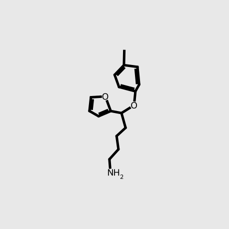 Cc1ccc(OC(CCCCN)c2ccco2)cc1